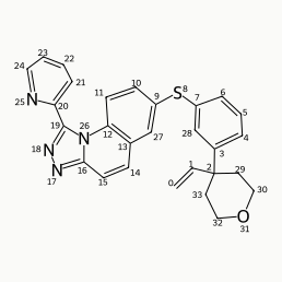 C=CC1(c2cccc(Sc3ccc4c(ccc5nnc(-c6ccccn6)n54)c3)c2)CCOCC1